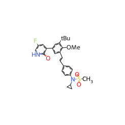 COc1c(C=Cc2ccc(N(C3CC3)S(C)(=O)=O)cc2)cc(-c2cc(F)c[nH]c2=O)cc1C(C)(C)C